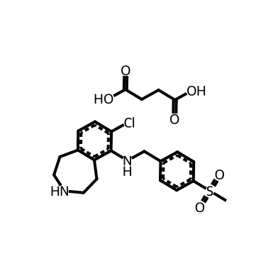 CS(=O)(=O)c1ccc(CNc2c(Cl)ccc3c2CCNCC3)cc1.O=C(O)CCC(=O)O